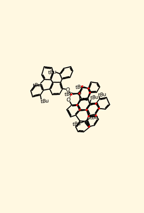 CC(C)(C)c1ccccc1-c1ccc(OP(Oc2ccc(-c3ccccc3C(C)(C)C)c(-c3ccccc3C(C)(C)C)c2-c2ccccc2C(C)(C)C)Oc2ccc(-c3ccccc3C(C)(C)C)c(-c3ccccc3C(C)(C)C)c2-c2ccccc2C(C)(C)C)c(-c2ccccc2C(C)(C)C)c1-c1ccccc1C(C)(C)C